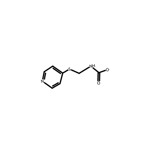 [O]C(=O)NCSc1ccncc1